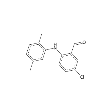 Cc1ccc(C)c(Nc2ccc(Cl)cc2C=O)c1